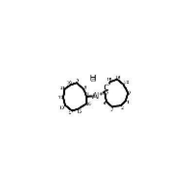 C1CCCC[CH]([Al+][CH]2CCCCCCCCC2)CCCC1.[H-]